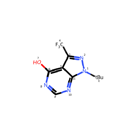 CC(C)(C)n1nc(C(F)(F)F)c2c(O)ncnc21